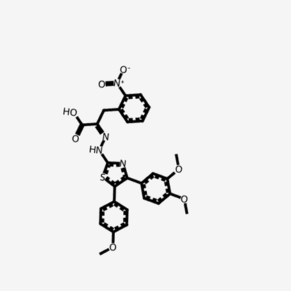 COc1ccc(-c2sc(NN=C(Cc3ccccc3[N+](=O)[O-])C(=O)O)nc2-c2ccc(OC)c(OC)c2)cc1